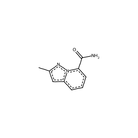 Cc1cc2cccc(C(N)=O)n2n1